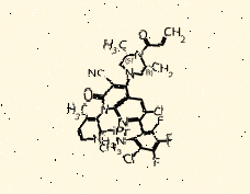 C=CC(=O)N1[C@H](C)CN(c2c(C#N)c(=O)n(C3=C(C)C=CN(C)[C@@H]3C(C)C)c3nc(-c4c(N)c(Cl)c(F)c(F)c4F)c(Cl)cc23)C[C@@H]1C